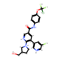 O=C(Nc1ccc(OC(F)(F)Cl)cc1)c1cnc(N2CCC(CO)C2)c(-c2cncc(F)c2)c1